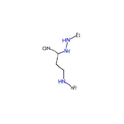 CCCNCCC(N=O)NNCC